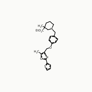 CCOC(=O)C1(C)CCCN(Cc2ccc(OCc3nc(-c4cccs4)oc3C)cc2)C1